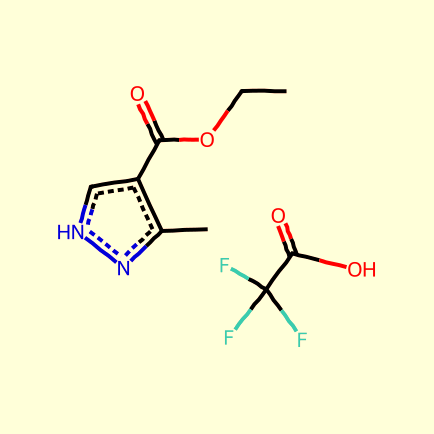 CCOC(=O)c1c[nH]nc1C.O=C(O)C(F)(F)F